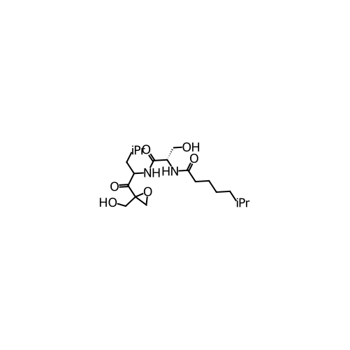 CC(C)CCCCC(=O)N[C@@H](CO)C(=O)NC(CC(C)C)C(=O)C1(CO)CO1